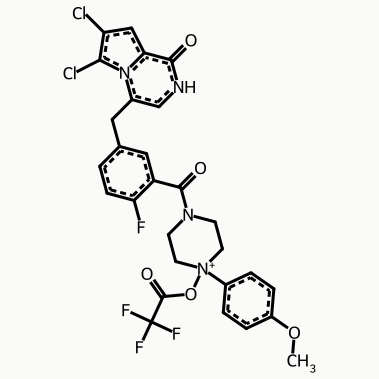 COc1ccc([N+]2(OC(=O)C(F)(F)F)CCN(C(=O)c3cc(Cc4c[nH]c(=O)c5cc(Cl)c(Cl)n45)ccc3F)CC2)cc1